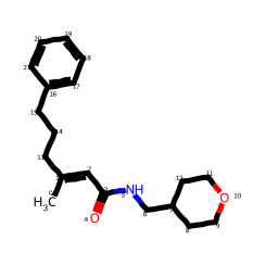 C/C(=C\C(=O)NCC1CCOCC1)CCCc1ccccc1